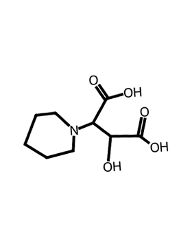 O=C(O)C(O)C(C(=O)O)N1CCCCC1